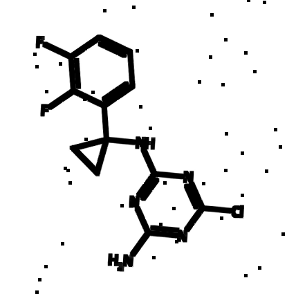 Nc1nc(Cl)nc(NC2(c3cccc(F)c3F)CC2)n1